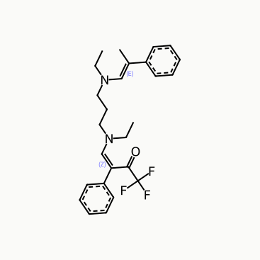 CCN(/C=C(\C(=O)C(F)(F)F)c1ccccc1)CCCN(/C=C(\C)c1ccccc1)CC